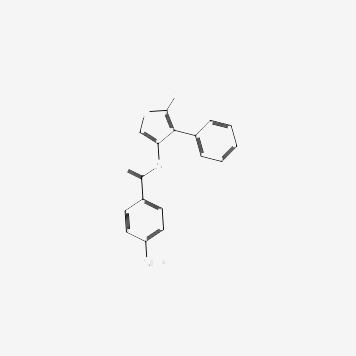 CC(=O)Nc1ccc(C(=O)Nc2csc(C(F)(F)F)c2-c2ccccc2)cc1